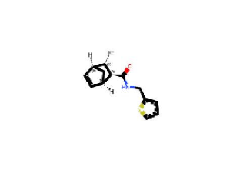 CC[C@@H]1[C@@H](C(=O)NCc2cccs2)[C@H]2C=C[C@@H]1C2